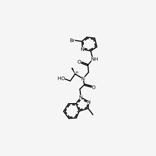 Cc1nn(CC(=O)N(CC(=O)Nc2cccc(Br)n2)[C@H](C)CO)c2ccccc12